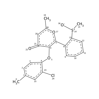 Cc1ccc(Oc2c(-c3ccccc3[S+](C)[O-])oc(C)cc2=O)c(Cl)c1